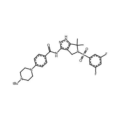 CC(C)(C)N1CCN(c2ccc(C(=O)Nc3n[nH]c4c3CN(S(=O)(=O)c3cc(F)cc(F)c3)C4(C)C)cc2)CC1